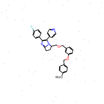 COc1ccc(COc2cccc(COCC3CCc4nc(-c5ccc(F)cc5)c(-c5ccncc5)n43)c2)cc1